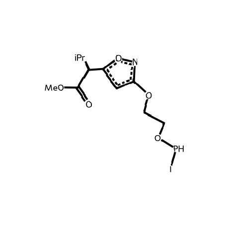 COC(=O)C(c1cc(OCCOPI)no1)C(C)C